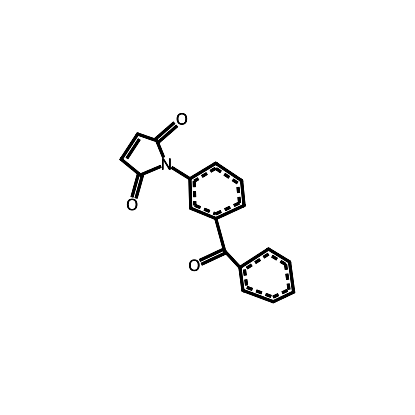 O=C(c1ccccc1)c1cccc(N2C(=O)C=CC2=O)c1